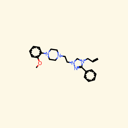 C=CCN1CN(CCN2CCN(c3ccccc3OC)CC2)N=C1c1ccccc1